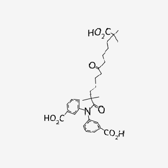 CC(C)(CCCCC(=O)CCCCC(C)(C)C(=O)N(c1cccc(C(=O)O)c1)c1cccc(C(=O)O)c1)C(=O)O